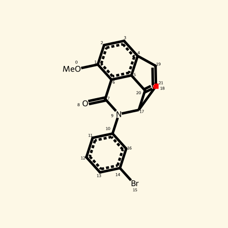 COc1ccc2c3c1C(=O)N(c1cccc(Br)c1)C(C=C2)C3=O